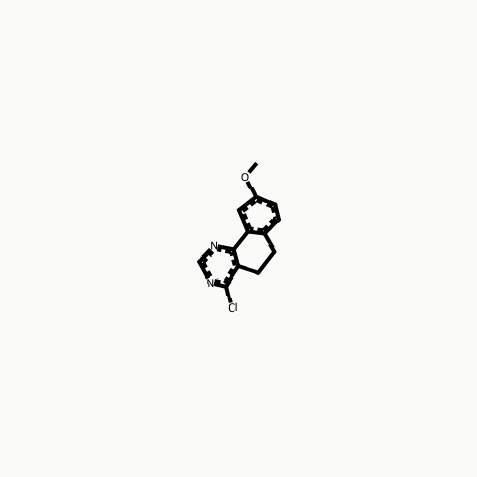 COc1ccc2c(c1)-c1ncnc(Cl)c1CC2